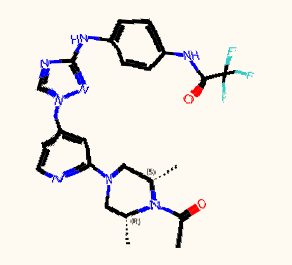 CC(=O)N1[C@H](C)CN(c2cc(-n3cnc(Nc4ccc(NC(=O)C(F)(F)F)cc4)n3)ccn2)C[C@@H]1C